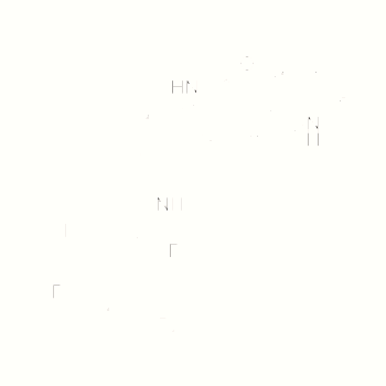 O=C1Nc2ccc(NCc3c(F)c(F)cc(F)c3F)cc2C1=Cc1ccc[nH]1